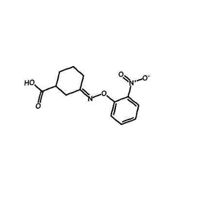 O=C(O)C1CCC/C(=N\Oc2ccccc2[N+](=O)[O-])C1